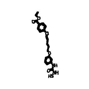 CCOC(=O)c1ccc(OCCCCCOc2cccc(NC(=O)NS)c2)cc1